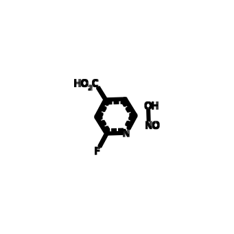 O=C(O)c1ccnc(F)c1.O=NO